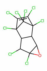 ClC1=C(Cl)C2(Cl)C3C4OC4(Cl)C(Cl)C3C1(Cl)C2(Cl)Cl